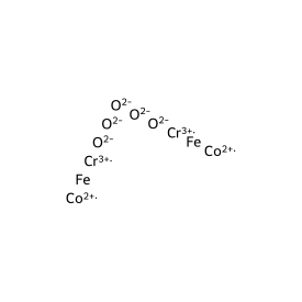 [Co+2].[Co+2].[Cr+3].[Cr+3].[Fe].[Fe].[O-2].[O-2].[O-2].[O-2].[O-2]